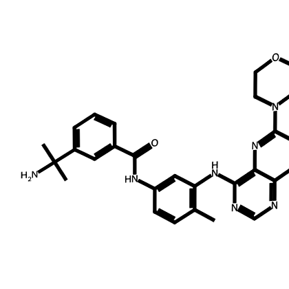 Cc1ccc(NC(=O)c2cccc(C(C)(C)N)c2)cc1Nc1ncnc2ccc(N3CCOCC3)nc12